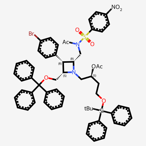 CC(=O)O[C@@H](CCO[Si](c1ccccc1)(c1ccccc1)C(C)(C)C)CN1[C@H](COC(c2ccccc2)(c2ccccc2)c2ccccc2)[C@H](c2ccc(Br)cc2)[C@@H]1CN(C(C)=O)S(=O)(=O)c1ccc([N+](=O)[O-])cc1